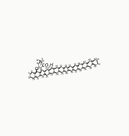 C[N+](C)(C)C[C@@H](CC(=O)O)Oc1c2ccccc2cc2cc3cc4cc5cc6cc7cc8cc9cc%10cc%11cc%12cc%13ccccc%13cc%12cc%11cc%10cc9cc8cc7cc6cc5cc4cc3cc12